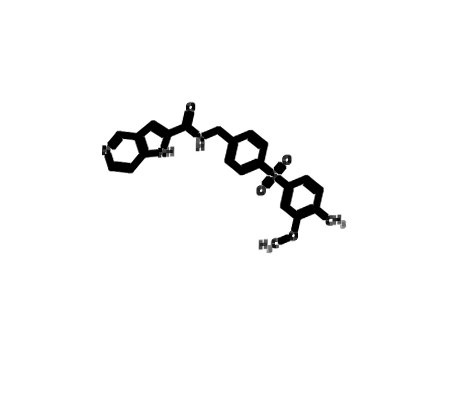 COc1cc(S(=O)(=O)c2ccc(CNC(=O)c3cc4cnccc4[nH]3)cc2)ccc1C